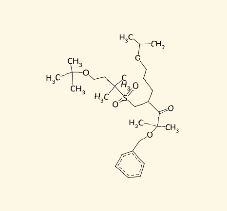 CC(C)OCCCC(CS(=O)(=O)C(C)(C)CCOC(C)(C)C)C(=O)C(C)(C)OCc1ccccc1